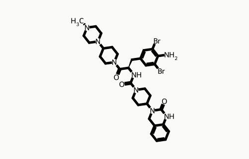 CN1CCN(C2CCN(C(=O)[C@@H](Cc3cc(Br)c(N)c(Br)c3)NC(=O)N3CCC(N4Cc5ccccc5NC4=O)CC3)CC2)CC1